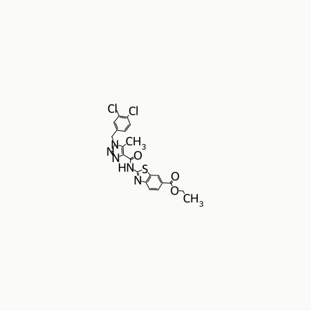 CCOC(=O)c1ccc2nc(NC(=O)c3nnn(Cc4ccc(Cl)c(Cl)c4)c3C)sc2c1